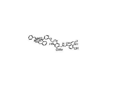 COc1cc(NC(=O)COc2cccc([C@@](O)(C(=O)O)c3ccccc3CC3CCN(Cc4ccccc4)CC3)c2)c(F)cc1CNC[C@H](O)c1ccc(O)c2[nH]c(=O)ccc12